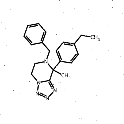 CCc1ccc(C2(C)c3nnnn3CCN2Cc2ccccc2)cc1